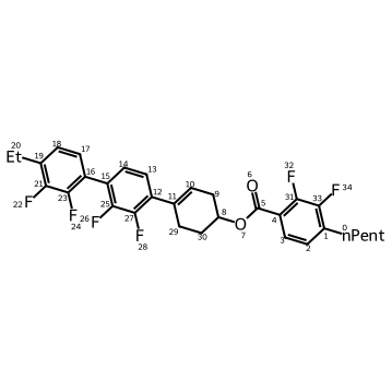 CCCCCc1ccc(C(=O)OC2CC=C(c3ccc(-c4ccc(CC)c(F)c4F)c(F)c3F)CC2)c(F)c1F